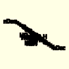 CCCCCCCCCCCCCCCCCCOCCOCCOCCOCCOCCOCCOCCOCCCCCCCCCCCCCCCCCC.O=C(O)CC(C(=O)O)S(=O)(=O)O.OCCN(CCO)CCO.[NaH].[NaH]